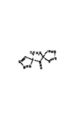 NC1(C(=S)C2(N)C=NN=N2)C=NN=N1